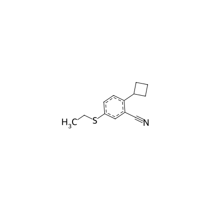 CCSc1ccc(C2CCC2)c(C#N)c1